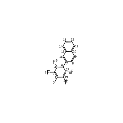 Cc1c(F)c(F)c(-c2ccc3ccccc3c2)c(F)c1F